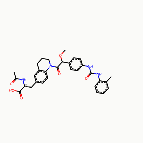 COC(C(=O)N1CCCc2cc(C[C@H](NC(C)=O)C(=O)O)ccc21)c1ccc(NC(=O)Nc2ccccc2C)cc1